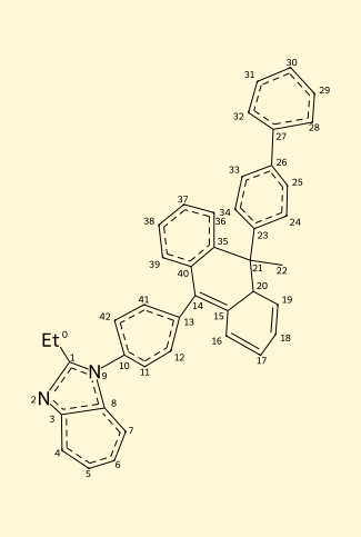 CCc1nc2ccccc2n1-c1ccc(C2=C3C=CC=CC3C(C)(c3ccc(-c4ccccc4)cc3)c3ccccc32)cc1